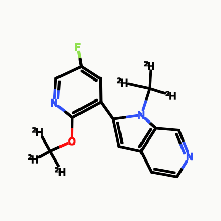 [2H]C([2H])([2H])Oc1ncc(F)cc1-c1cc2ccncc2n1C([2H])([2H])[2H]